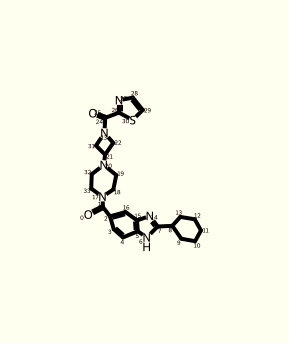 O=C(c1ccc2[nH]c(C3CCCCC3)nc2c1)N1CCN(C2CN(C(=O)c3nccs3)C2)CC1